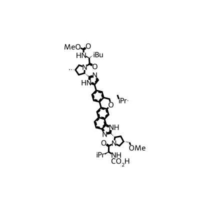 CC[C@@H](C)[C@H](NC(=O)OC)C(=O)N1C[C@@H](C)C[C@H]1c1ncc(-c2ccc3c(c2)COc2cc4c(ccc5nc([C@@H]6C[C@H](COC)CN6C(=O)[C@@H](NC(=O)O)C(C)C)[nH]c54)cc2-3)[nH]1.C[C](C)C